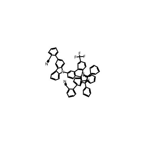 N#Cc1ccccc1-c1ccc2c(c1)c1ccccc1n2-c1ccc(-c2nc(-c3ccccc3)nc(-c3ccccc3)n2)c(-c2cc(C(F)(F)F)ccc2-n2c3ccccc3c3cc(-c4ccccc4C#N)ccc32)c1